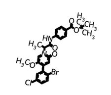 COc1cn(C(C)C(=O)Nc2ccc(C(=O)OC(C)(C)C)cc2)c(=O)cc1-c1cc(Cl)ccc1Br